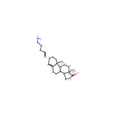 C[C@]12CC[C@@H](/C=C/CCCN)C=C1CCC1C2CC[C@]2(C)C(=O)CCC12